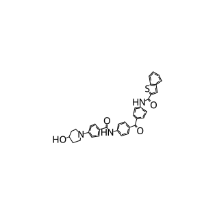 O=C(Nc1ccc(C(=O)c2ccc(NC(=O)c3cc4ccccc4s3)cc2)cc1)c1ccc(N2CCC(O)CC2)cc1